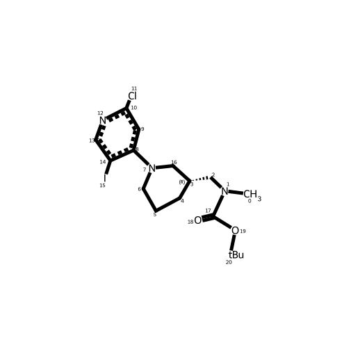 CN(C[C@@H]1CCCN(c2cc(Cl)ncc2I)C1)C(=O)OC(C)(C)C